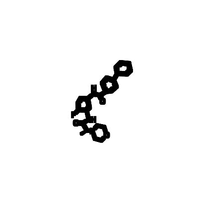 C[C@@H](C(=O)Nc1cc(NC(=O)c2ccc(-c3ccccc3)cc2)ccc1F)N1CCOCC1